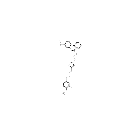 NC(=O)c1ccc2c(c1)nc(NCCn1cc(CCNCc3ccc(OC(F)(F)F)c(F)c3)nn1)c1ccncc12